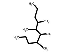 CCCC(C)[C](C)C(C)C(C)CCC